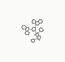 c1ccc(-c2nccc3c2nc(-c2cc(-c4cc5ccccc5c5ccccc45)cc(-c4cc5ccccc5c5ccccc45)c2)n3-c2ccccc2)cc1